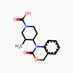 CC1CN(C(=O)O)CCC1N1C(=O)OCc2ccccc21